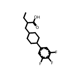 CCC(CC1CCC(c2cc(F)c(F)c(F)c2)CC1)C(=O)O